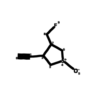 C#CC1C[S+]([O-])CC1CF